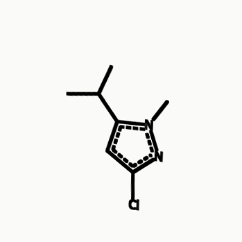 CC(C)c1cc(Cl)nn1C